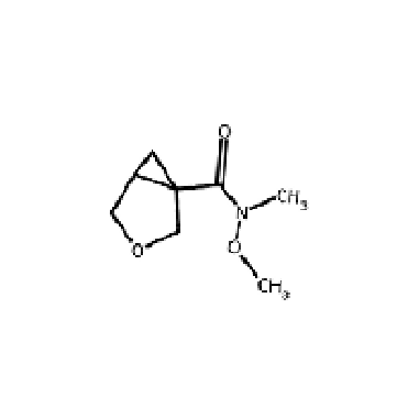 CON(C)C(=O)C12COCC1C2